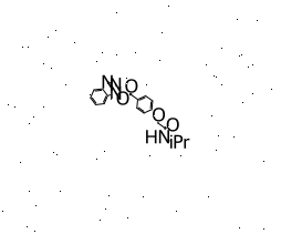 CC(C)NC(=O)COc1ccc(C(=O)On2nnc3ccccc32)cc1